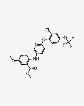 COC(=O)c1cc(OC)ccc1Nc1ccc(Oc2ccc(OC(F)(F)F)cc2Cl)nc1